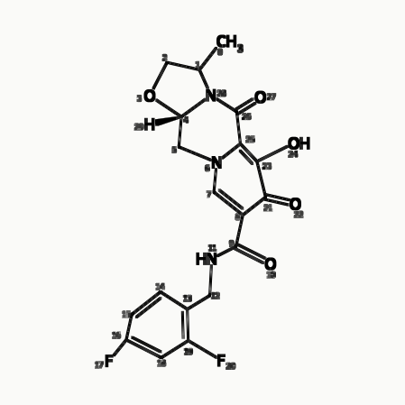 CC1CO[C@H]2Cn3cc(C(=O)NCc4ccc(F)cc4F)c(=O)c(O)c3C(=O)N12